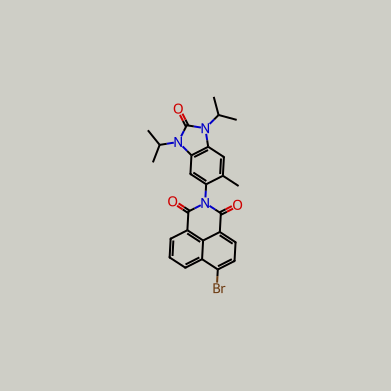 Cc1cc2c(cc1N1C(=O)c3cccc4c(Br)ccc(c34)C1=O)n(C(C)C)c(=O)n2C(C)C